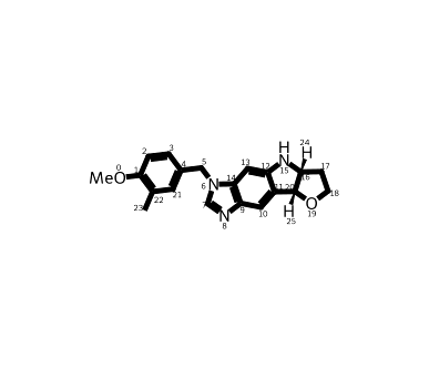 COc1ccc(Cn2cnc3cc4c(cc32)N[C@@H]2CCO[C@H]42)cc1C